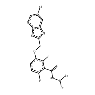 CCN(CC)NC(=O)c1c(F)ccc(OCc2nc3cc(Cl)cnc3s2)c1F